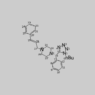 CCCCn1nnnc1[C@H](c1ccccc1)N1CCN(C/C=C/c2ccccc2)CC1